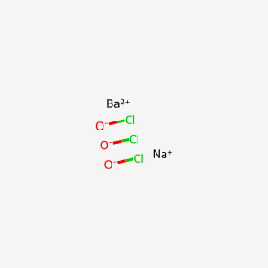 [Ba+2].[Na+].[O-]Cl.[O-]Cl.[O-]Cl